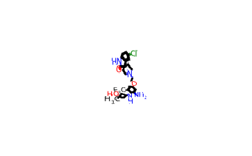 CC1(O)CC(Nc2c(N)cc(OCCN3CCC4(CC3)C(=O)Nc3ccc(Cl)cc34)cc2C(F)(F)F)C1